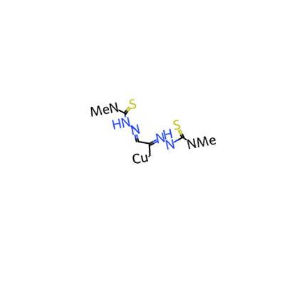 CNC(=S)NN=CC(C)=NNC(=S)NC.[Cu]